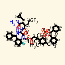 Cc1cc(C)c(C(C)(C)CC(=O)OCN2C(=O)C(NC(=O)[C@H](CCC(F)(F)F)[C@H](CC3CC3)C(N)=O)N=C(c3ccccc3)c3cccc(F)c32)c(OP(=O)(OCc2ccccc2)OCc2ccccc2)c1